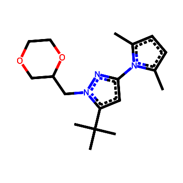 Cc1ccc(C)n1-c1cc(C(C)(C)C)n(CC2COCCO2)n1